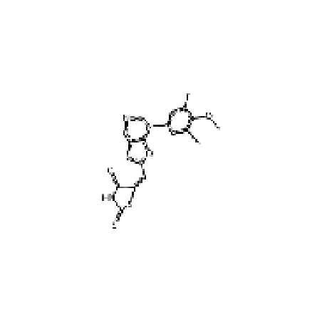 COc1c(C)cc(-c2cncc3cc(C=C4SC(=S)NC4=O)oc23)cc1C